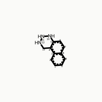 c1ccc2c3c(ccc2c1)NNNC3